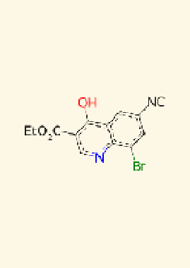 [C-]#[N+]c1cc(Br)c2ncc(C(=O)OCC)c(O)c2c1